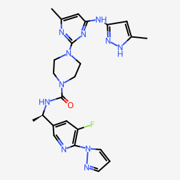 Cc1cc(Nc2cc(C)[nH]n2)nc(N2CCN(C(=O)N[C@H](C)c3cnc(-n4cccn4)c(F)c3)CC2)n1